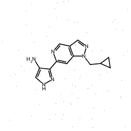 Nc1c[nH]nc1-c1cc2c(cn1)cnn2CC1CC1